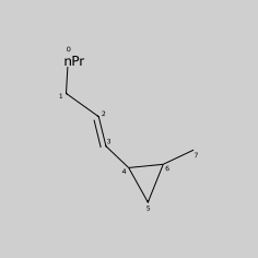 CCCCC=CC1CC1C